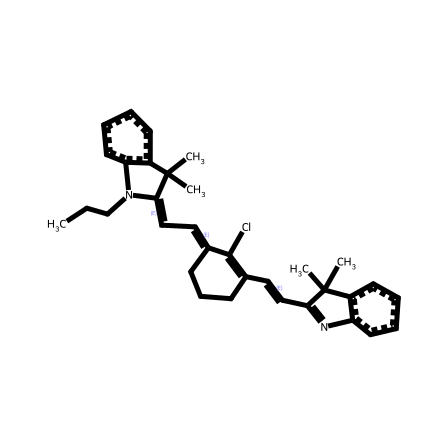 CCCN1/C(=C/C=C2\CCCC(/C=C/C3=Nc4ccccc4C3(C)C)=C2Cl)C(C)(C)c2ccccc21